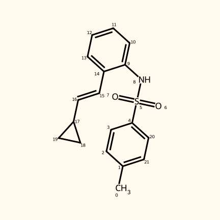 Cc1ccc(S(=O)(=O)Nc2ccccc2C=CC2CC2)cc1